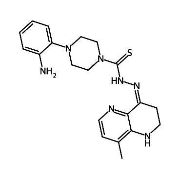 Cc1ccnc2c1NCC/C2=N/NC(=S)N1CCN(c2ccccc2N)CC1